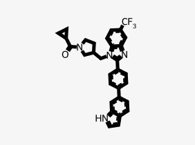 O=C(C1CC1)N1CCC(Cn2c(-c3ccc(-c4ccc5cc[nH]c5c4)cc3)nc3cc(C(F)(F)F)ccc32)C1